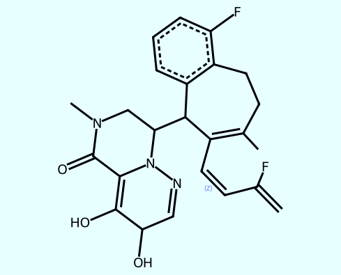 C=C(F)/C=C\C1=C(C)CCc2c(F)cccc2C1C1CN(C)C(=O)C2=C(O)C(O)C=NN21